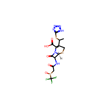 CC(Sc1nnn[nH]1)C1=C(C(=O)O)N2C(=O)C(NC(=O)C[S+]([O-])C(F)(F)F)[C@@H]2SC1